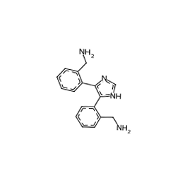 NCc1ccccc1-c1nc[nH]c1-c1ccccc1CN